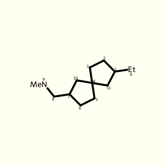 CCC1CCC2(CCC(CNC)C2)C1